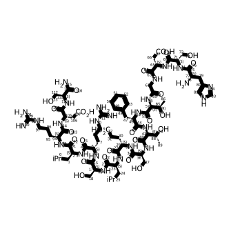 CC(C)C[C@H](NC(=O)[C@H](CCCNC(=N)N)NC(=O)[C@H](CO)NC(=O)[C@H](CC(C)C)NC(=O)[C@H](CCC(=O)O)NC(=O)[C@H](CO)NC(=O)[C@@H](NC(=O)[C@H](Cc1ccccc1)NC(=O)[C@@H](NC(=O)CNC(=O)[C@H](CC(=O)O)NC(=O)[C@H](CO)NC(=O)[C@@H](N)Cc1c[nH]cn1)[C@@H](C)O)[C@@H](C)O)C(=O)N[C@@H](CCCNC(=N)N)C(=O)N[C@@H](CC(=O)O)C(=O)N[C@@H](CO)C(N)=O